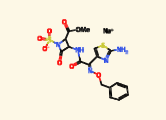 COC(=O)C1C(NC(=O)C(=NOCc2ccccc2)c2csc(N)n2)C(=O)N1S(=O)(=O)[O-].[Na+]